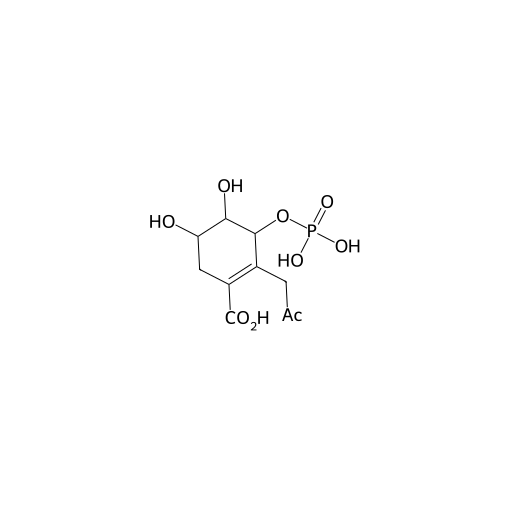 CC(=O)CC1=C(C(=O)O)CC(O)C(O)C1OP(=O)(O)O